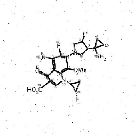 COc1c(N2C[C@@H](F)[C@@H](C3(N)CC3)C2)c(F)c(N)c2c(=O)c(C(=O)O)cn([C@@H]3C[C@@H]3F)c12